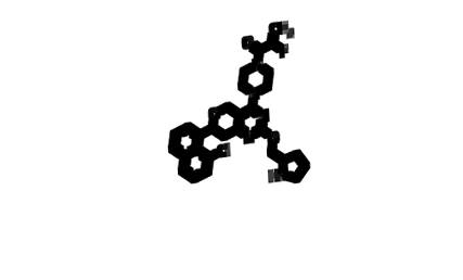 C=C(F)C(=O)N1CCN(c2nc(OCC3CCCN3)nc3c2COC(c2cccc4cccc(Cl)c24)C3)CC1